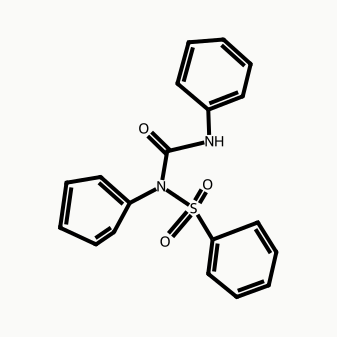 O=C(Nc1ccccc1)N(c1ccccc1)S(=O)(=O)c1ccccc1